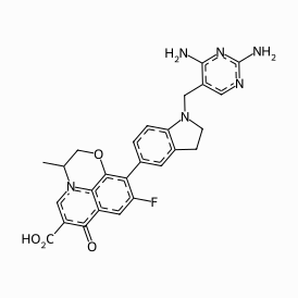 CC1COc2c(-c3ccc4c(c3)CCN4Cc3cnc(N)nc3N)c(F)cc3c(=O)c(C(=O)O)cn1c23